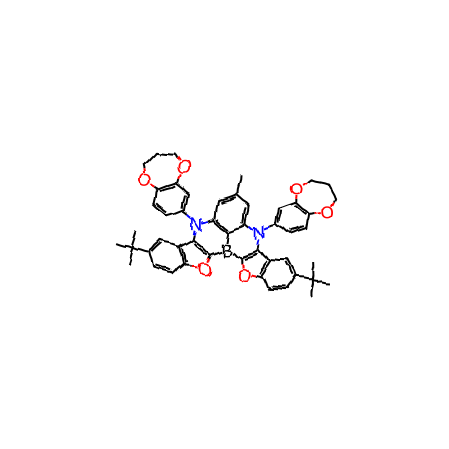 Cc1cc2c3c(c1)N(c1ccc4c(c1)OCCCO4)c1c(oc4ccc(C(C)(C)C)cc14)B3c1oc3ccc(C(C)(C)C)cc3c1N2c1ccc2c(c1)OCCCO2